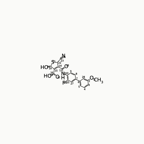 COc1cccc(-c2ccc(NC(=O)C3=C(C(=O)O)C(O)SC3C#N)c(F)c2)c1